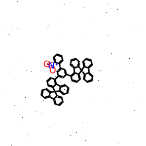 O=[N+]([O-])c1ccccc1-c1cc(-c2cccc3c2-c2ccccc2C32c3ccccc3-c3ccccc32)cc(-c2cccc3c2-c2ccccc2C32c3ccccc3-c3ccccc32)c1